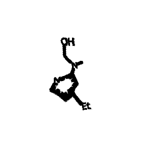 CCc1ccnc(N(C)CO)c1